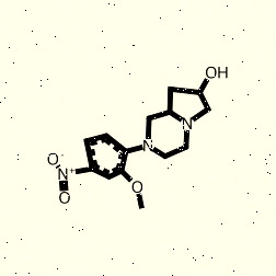 COc1cc([N+](=O)[O-])ccc1N1CCN2CC(O)CC2C1